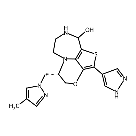 Cc1cnn(C[C@H]2COc3c(-c4cn[nH]c4)sc4c3N2CCNC4O)c1